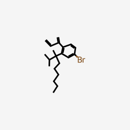 C=CC(=C)c1ccc(Br)cc1C(C)(CCCCCC)C(C)C